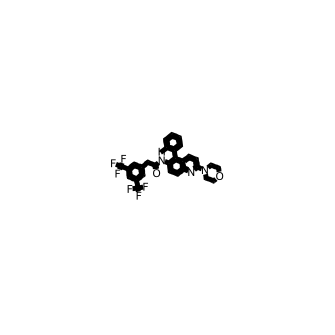 Cc1ccccc1-c1c(NC(=O)Cc2cc(C(F)(F)F)cc(C(F)(F)F)c2)ccc2nc(N3CCOCC3)ccc12